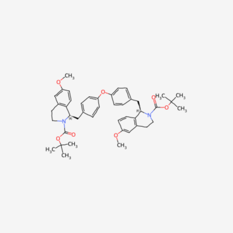 COc1ccc2c(c1)CCN(C(=O)OC(C)(C)C)[C@@H]2Cc1ccc(Oc2ccc(C[C@@H]3c4ccc(OC)cc4CCN3C(=O)OC(C)(C)C)cc2)cc1